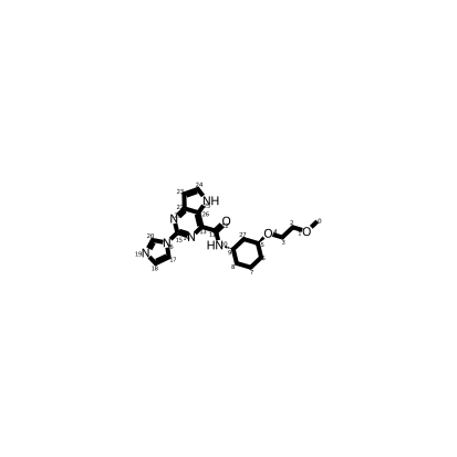 COCCO[C@H]1CCC[C@H](NC(=O)c2nc(-n3ccnc3)nc3cc[nH]c23)C1